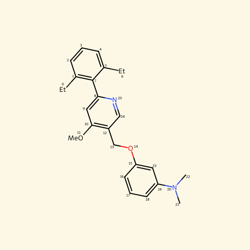 CCc1cccc(CC)c1-c1cc(OC)c(COc2cccc(N(C)C)c2)cn1